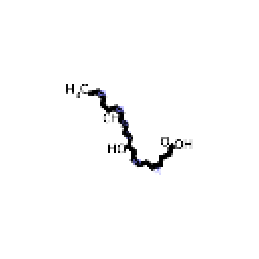 CC/C=C\CC(C)\C=C/C=C/C=C/C(O)C/C=C\C/C=C\CCC(=O)O